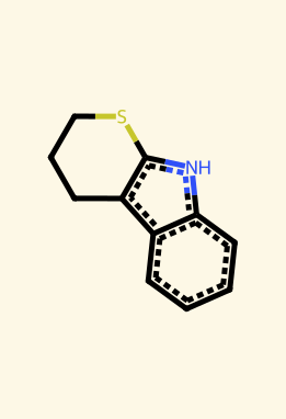 c1ccc2c3c([nH]c2c1)SCCC3